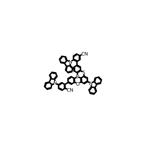 N#Cc1ccc(-n2c3ccccc3c3ccccc32)c(-c2ccc3c(c2)Sc2cc(-n4c5ccccc5c5ccccc54)cc4c2B3c2ccc(-c3cc(N5c6ccccc6C6=C=CC=CC65)ccc3C#N)cc2O4)c1